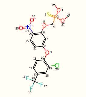 COP(=S)(COc1cc(Oc2ccc(C(F)(F)F)cc2Cl)ccc1[N+](=O)[O-])OC